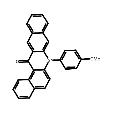 COc1ccc(-[s+]2c3cc4ccccc4cc3c(=O)c3c4ccccc4ccc32)cc1